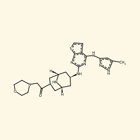 Cc1cc(Nc2nc(N[C@@H]3C[C@H]4CC(C(=O)CN5CCOCC5)C[C@@H](C3)N4)nc3sccc23)n[nH]1